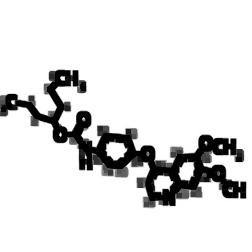 CCCC(CCC)OC(=O)Nc1ccc(Oc2ccnc3cc(OC)c(OC)cc23)cc1